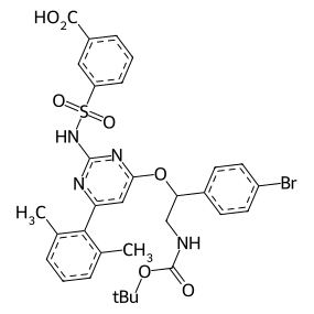 Cc1cccc(C)c1-c1cc(OC(CNC(=O)OC(C)(C)C)c2ccc(Br)cc2)nc(NS(=O)(=O)c2cccc(C(=O)O)c2)n1